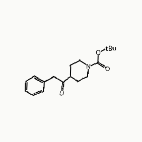 CC(C)(C)OC(=O)N1CCC(C(=O)Cc2ccccc2)CC1